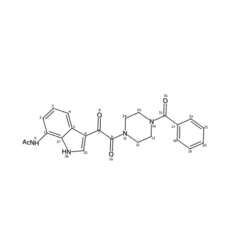 CC(=O)Nc1cccc2c(C(=O)C(=O)N3CCN(C(=O)c4ccccc4)CC3)c[nH]c12